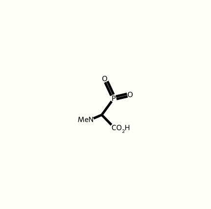 CNC(C(=O)O)P(=O)=O